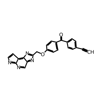 C#Cc1ccc(C(=O)c2ccc(OCC3=Nc4c5c(ncc4=N3)=NC=C5)cc2)cc1